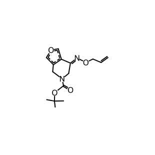 C=CCO/N=C1\CN(C(=O)OC(C)(C)C)Cc2cocc21